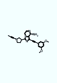 CC#CN1CCC(c2nc(C#Cc3cc(OC)cc(OC)c3)c3c(N)nccn23)C1